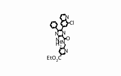 CCOC(=O)c1ccc(CNC(=O)c2nc(-c3cc(Cl)c4ncccc4c3)c(-c3ccccc3)nc2N)nc1